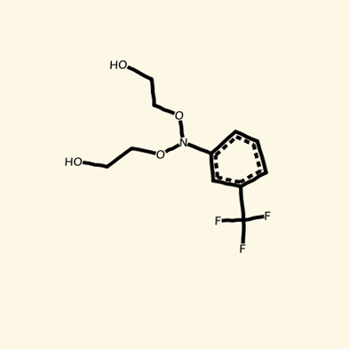 OCCON(OCCO)c1cccc(C(F)(F)F)c1